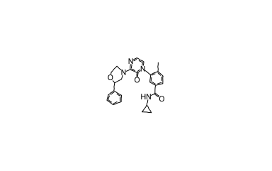 Cc1ccc(C(=O)NC2CC2)cc1-n1ccnc(N2CCOC(c3ccccc3)C2)c1=O